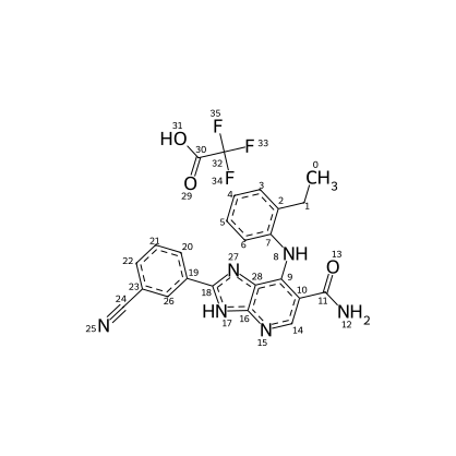 CCc1ccccc1Nc1c(C(N)=O)cnc2[nH]c(-c3cccc(C#N)c3)nc12.O=C(O)C(F)(F)F